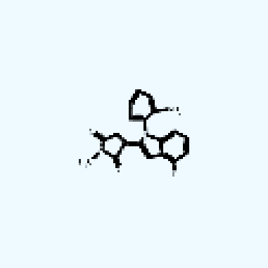 CN1C(=O)CC(c2cc3c(F)cccc3n2-c2ccccc2N)C1=O